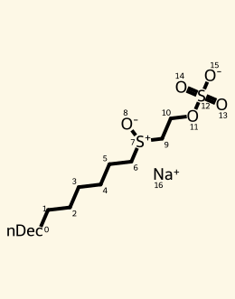 CCCCCCCCCCCCCCCC[S+]([O-])CCOS(=O)(=O)[O-].[Na+]